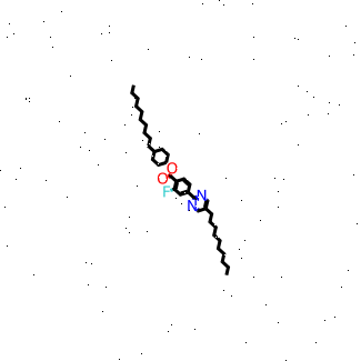 CCCCCCCCCCc1cnc(-c2ccc(C(=O)OC3CCC(CCCCCCCCCC)CC3)c(F)c2)nc1